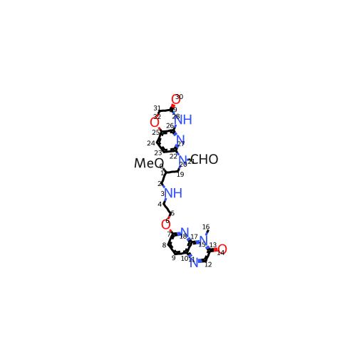 COC(CNCCOc1ccc2ncc(=O)n(C)c2n1)CN(C=O)c1ccc2c(n1)NC(=O)CO2